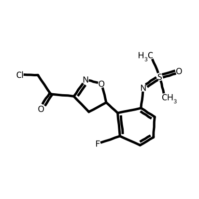 CS(C)(=O)=Nc1cccc(F)c1C1CC(C(=O)CCl)=NO1